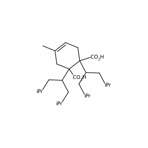 CC1=CCC(C(=O)O)(C(CC(C)C)CC(C)C)C(C(=O)O)(C(CC(C)C)CC(C)C)C1